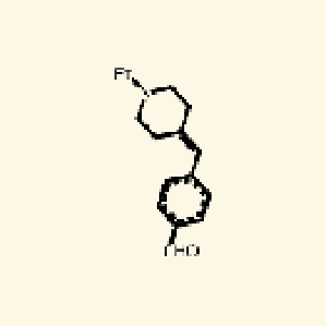 CCN1CCC(=Cc2ccc(C=O)cc2)CC1